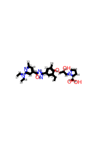 CCc1cc(-c2noc(-c3cc(C)nc(N(CC)CC)c3)n2)cc(C)c1OC[C@@H](O)CN1CCC[C@H]1C(=O)O